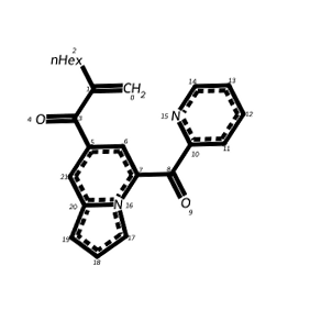 C=C(CCCCCC)C(=O)c1cc(C(=O)c2ccccn2)n2cccc2c1